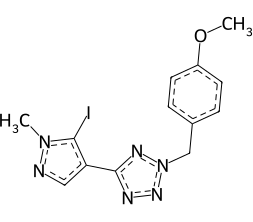 COc1ccc(Cn2nnc(-c3cnn(C)c3I)n2)cc1